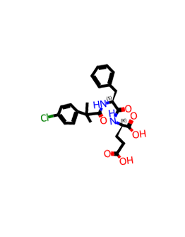 CC(C)(C(=O)N[C@@H](Cc1ccccc1)C(=O)N[C@H](CCC(=O)O)C(=O)O)c1ccc(Cl)cc1